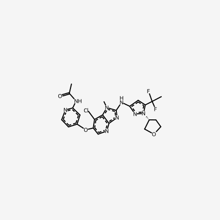 CC(=O)Nc1cc(Oc2cnc3nc(Nc4cc(C(C)(F)F)n([C@@H]5CCOC5)n4)n(C)c3c2Cl)ccn1